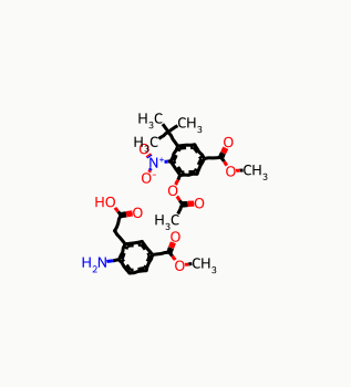 COC(=O)c1cc(OC(C)=O)c([N+](=O)[O-])c(C(C)(C)C)c1.COC(=O)c1ccc(N)c(CC(=O)O)c1